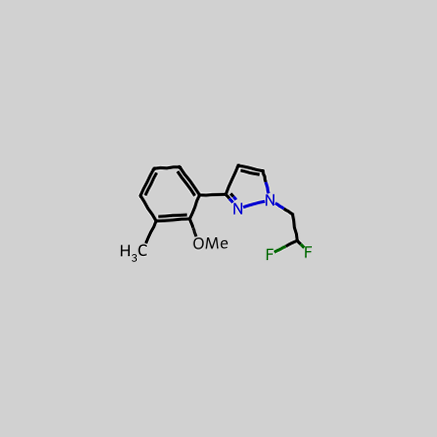 COc1c(C)cccc1-c1ccn(CC(F)F)n1